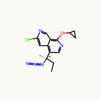 CC[C@@](C)(N=[N+]=[N-])c1cnc(OC2CC2)c2cnc(Cl)cc12